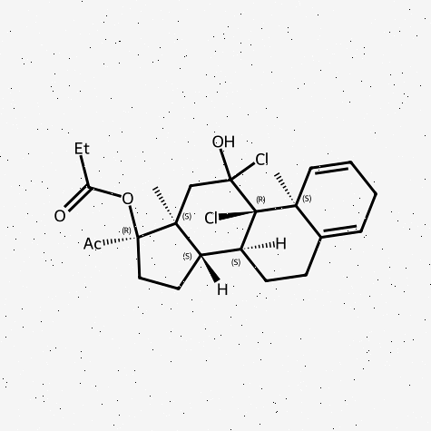 CCC(=O)O[C@]1(C(C)=O)CC[C@H]2[C@@H]3CCC4=CCC=C[C@]4(C)[C@@]3(Cl)C(O)(Cl)C[C@@]21C